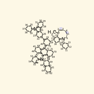 C=C1/C=C\C=C/CN(c2ccccc2)c2ccc(-c3cc(-c4ccc5c(c4)c4ccccc4n5-c4ccccc4)cc(-c4c5ccccc5c(N(c5ccccc5)c5ccc6ccccc6c5)c5ccccc45)c3)cc21